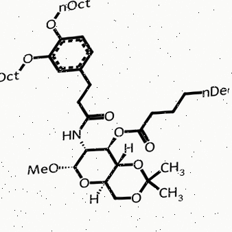 CCCCCCCCCCCCCC(=O)O[C@@H]1[C@@H](NC(=O)CCc2ccc(OCCCCCCCC)c(OCCCCCCCC)c2)[C@@H](OC)O[C@@H]2COC(C)(C)O[C@@H]12